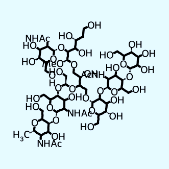 CO[C@H](OC[C@H](O)C(CO[C@H]1OC(CO)[C@@H](O)C(O)C1O[C@@H]1OC(CO)[C@@H](O[C@@H]2OC(CO)[C@H](O)C(O)C2O)C(O)C1NC(C)=O)O[C@H](CO)O[C@@H]1C(CO)O[C@@H](O[C@@H]2C(CO)O[C@@H](C)C(NC(C)=O)C2O)C(NC(C)=O)C1O)C(O[C@@H]1OC(CO)[C@@H](O)C(O)C1NC(C)=O)C(O)[C@H](O)CCO